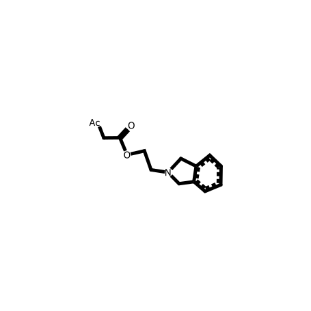 CC(=O)CC(=O)OCCN1Cc2ccccc2C1